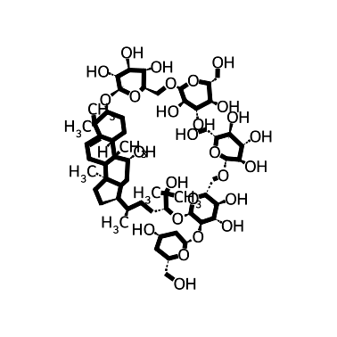 C[C@H](CC[C@@H](O[C@@H]1O[C@H](CO[C@@H]2O[C@H](CO)[C@@H](O)[C@H](O)[C@H]2O)[C@@H](O)[C@H](O)[C@H]1O[C@H]1C[C@@H](O)C[C@@H](CO)O1)C(C)(C)O)[C@H]1CC[C@]2(C)C1C[C@@H](O)[C@]1(C)C2CC=C2[C@H]1CC[C@H](O[C@@H]1O[C@H](CO[C@@H]3O[C@H](CO)[C@@H](O)[C@H](O)[C@H]3O)[C@@H](O)[C@H](O)[C@H]1O)C2(C)C